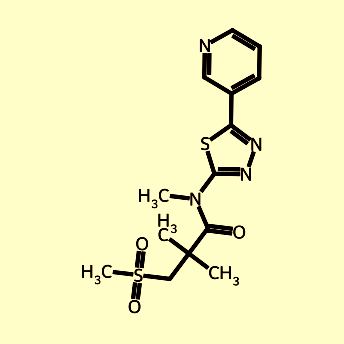 CN(C(=O)C(C)(C)CS(C)(=O)=O)c1nnc(-c2cccnc2)s1